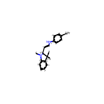 CC(C)c1ccc(NC=CC2=[N+](C)c3ccccc3C2(C)C)cc1